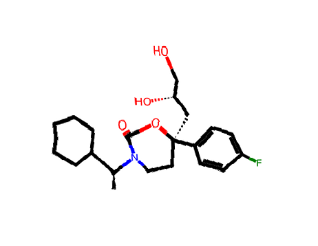 C[C@@H](C1CCCCC1)N1CC[C@](C[C@H](O)CO)(c2ccc(F)cc2)OC1=O